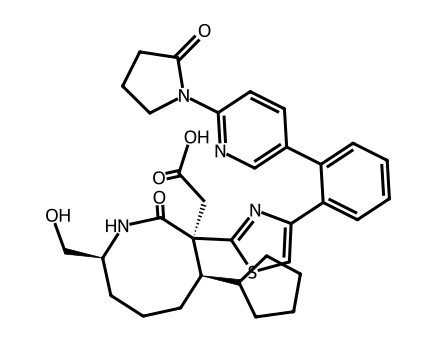 O=C(O)C[C@@]1(c2nc(-c3ccccc3-c3ccc(N4CCCC4=O)nc3)cs2)C(=O)N[C@H](CO)CCC[C@@H]1C1CCCC1